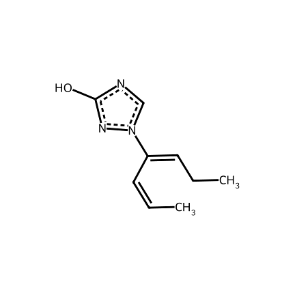 C/C=C\C(=C/CC)n1cnc(O)n1